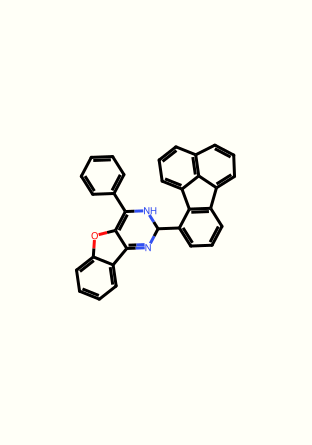 c1ccc(C2=c3oc4ccccc4c3=NC(c3cccc4c3-c3cccc5cccc-4c35)N2)cc1